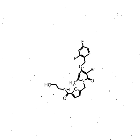 Cc1cc(OCc2ccc(F)cc2F)c(Br)c(=O)n1Cc1ccc(C(=O)NCCO)o1